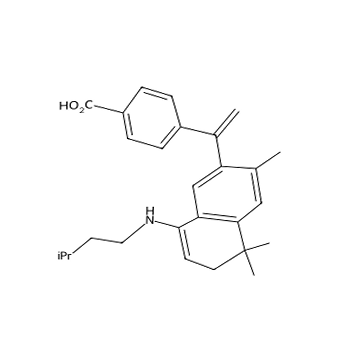 C=C(c1ccc(C(=O)O)cc1)c1cc2c(cc1C)C(C)(C)CC=C2NCCC(C)C